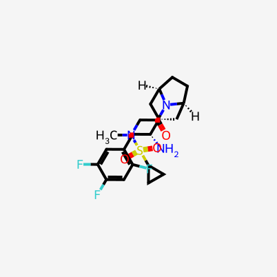 CN(CC(=O)N1[C@@H]2CC[C@H]1C[C@H]([C@H](N)Cc1cc(F)c(F)cc1F)C2)S(=O)(=O)C1CC1